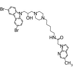 Cc1cnc2c(ccn2CC(=O)NCCCCCN2CCN(CC(O)Cn3c4ccc(Br)cc4c4cc(Br)ccc43)CC2)c1